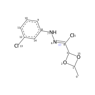 CC1OC(/C(Cl)=N/Nc2cccc(Cl)c2)O1